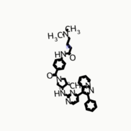 C[C@@H]1CN(C(=O)c2ccc(NC(=O)/C=C/CN(C)C)cc2)C[C@@H]1Nc1nccc(-c2c(-c3ccccc3)nn3ccccc23)n1